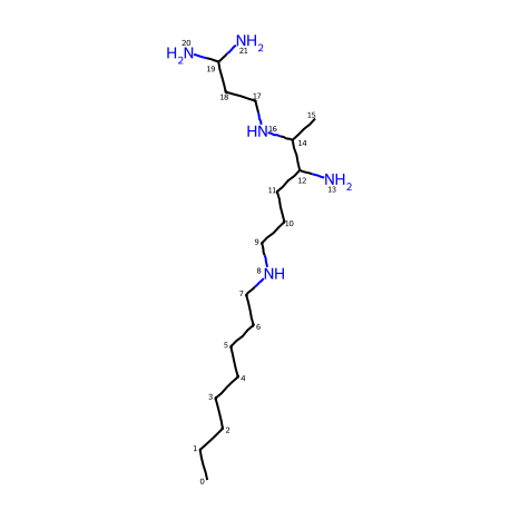 CCCCCCCCNCCCC(N)C(C)NCCC(N)N